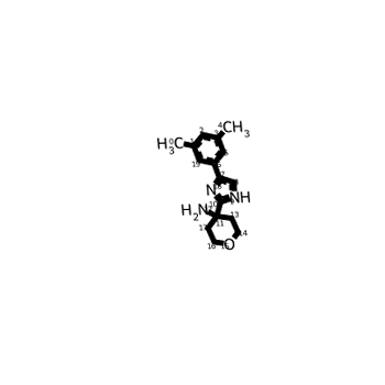 Cc1cc(C)cc(-c2c[nH]c(C3(N)CCOCC3)n2)c1